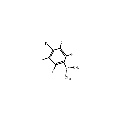 C[S+](C)c1c(F)c(F)c(F)c(F)c1F